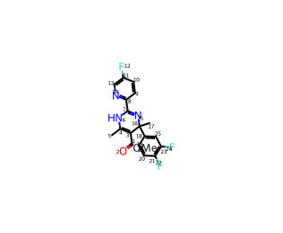 COC(=O)C1=C(C)NC(c2ccc(F)cn2)=NC1(C)c1ccc(F)c(F)c1